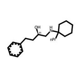 CCCC1(NC[C@H](O)CCc2ccccc2)CCCCC1